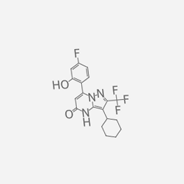 O=c1cc(-c2ccc(F)cc2O)n2nc(C(F)(F)F)c(C3CCCCC3)c2[nH]1